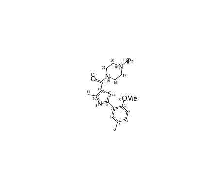 COc1ccc(C)cc1-c1nc(C)c(C(=O)N2CCN(C(C)C)CC2)s1